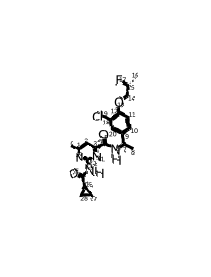 Cc1cc(C(=O)NC(C)c2ccc(OC[C@@H](C)F)c(Cl)c2)nc(NC(=O)C2CC2)n1